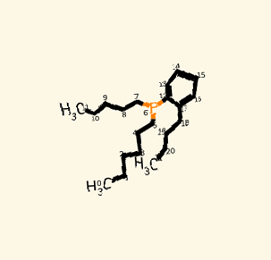 CCCCCCP(CCCCC)c1ccccc1CCCC